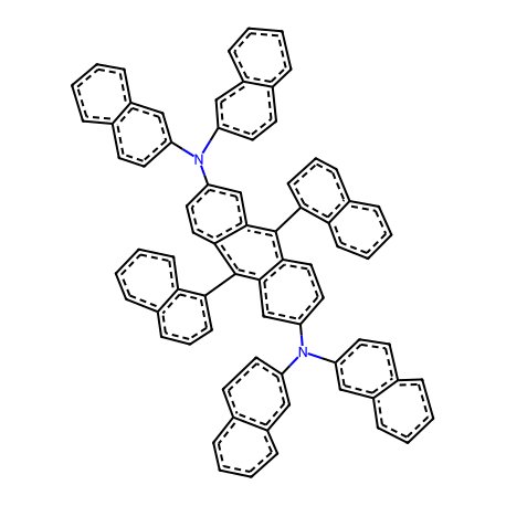 c1ccc2cc(N(c3ccc4ccccc4c3)c3ccc4c(-c5cccc6ccccc56)c5cc(N(c6ccc7ccccc7c6)c6ccc7ccccc7c6)ccc5c(-c5cccc6ccccc56)c4c3)ccc2c1